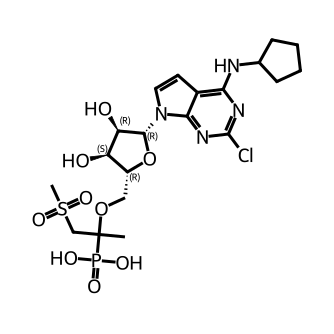 CC(CS(C)(=O)=O)(OC[C@H]1O[C@@H](n2ccc3c(NC4CCCC4)nc(Cl)nc32)[C@H](O)[C@@H]1O)P(=O)(O)O